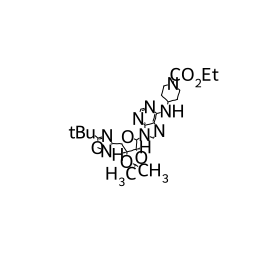 CCOC(=O)N1CCC(Nc2ncnc3c2ncn3C2OC(c3noc(C(C)(C)C)n3)[C@H]3OC(C)(C)O[C@@H]23)CC1